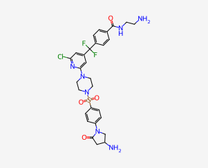 NCCNC(=O)c1ccc(C(F)(F)c2cc(Cl)nc(N3CCN(S(=O)(=O)c4ccc(N5CC(N)CC5=O)cc4)CC3)c2)cc1